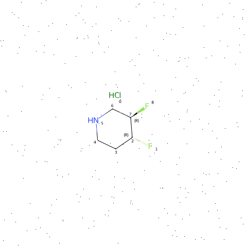 Cl.F[C@@H]1CCNC[C@H]1F